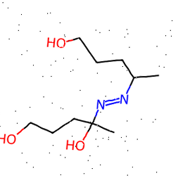 CC(CCCO)N=NC(C)(O)CCCO